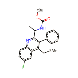 CSCc1c(-c2ccccc2)c(C(C)NC(=O)OC(C)(C)C)nc2ccc(F)cc12